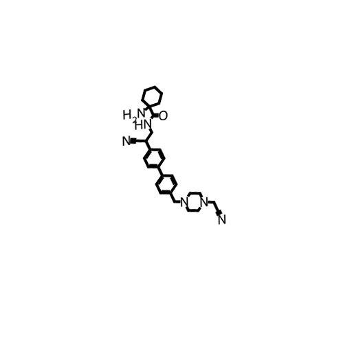 N#CCN1CCN(Cc2ccc(-c3ccc(C(C#N)CNC(=O)C4(N)CCCCC4)cc3)cc2)CC1